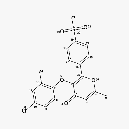 Cc1cc(=O)c(Oc2ccc(Cl)cc2C)c(-c2ccc(S(C)(=O)=O)cc2)o1